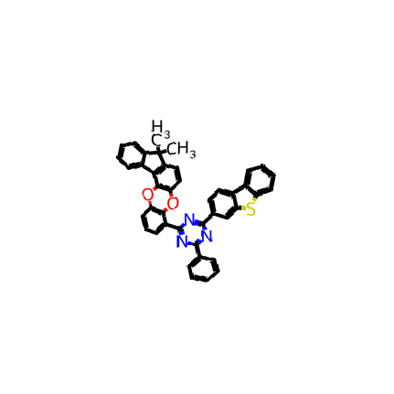 CC1(C)c2ccccc2-c2c1ccc1c2Oc2cccc(-c3nc(-c4ccccc4)nc(-c4ccc5c(c4)sc4ccccc45)n3)c2O1